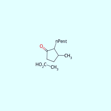 CC(=O)O.CCCCCC1C(=O)CCC1C